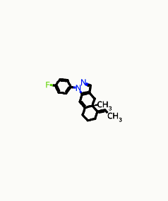 C/C=C1\CCCC2=Cc3c(cnn3-c3ccc(F)cc3)C[C@@]21C